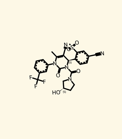 CC1=C(C#N)[C@@H](c2ccc(C#N)cc2S(C)(=O)=O)N(C(=O)N2CC[C@H](O)C2)C(=O)N1c1cccc(C(F)(F)F)c1